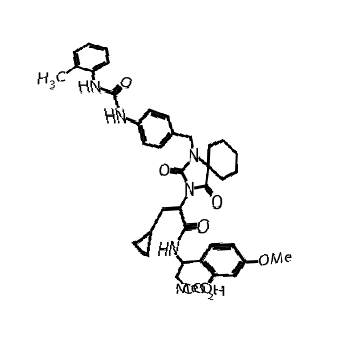 COc1ccc(C(CC(=O)O)NC(=O)C(CC2CC2)N2C(=O)N(Cc3ccc(NC(=O)Nc4ccccc4C)cc3)C3(CCCCC3)C2=O)c(OC)c1